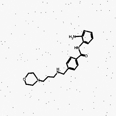 Nc1ccccc1NC(=O)c1ccc(CNCCCN2CCOCC2)cc1